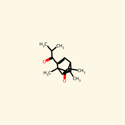 CC(C)C(=O)C1=CC2C=CC1(C)C(=O)C2(C)C